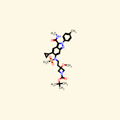 CNC(=O)c1c2cc(C3CC3)c(N(CCC3(OC)CN(C(=O)OC(C)(C)C)C3)S(C)(=O)=O)cc2nn1-c1ccc(C)cc1